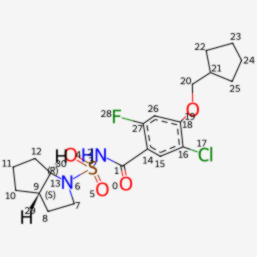 O=C(NS(=O)(=O)N1CC[C@@H]2CCC[C@H]21)c1cc(Cl)c(OCC2CCCC2)cc1F